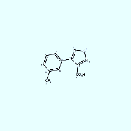 O=C(O)c1nsnc1-c1cccc(C(F)(F)F)c1